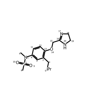 CC(C)Cc1cc(N(C)S(C)(=O)=O)ccc1OCC1=NCCN1